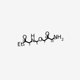 CCC(=O)CNCOCC(=O)CN